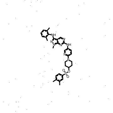 Cc1ccc(S(=O)(=O)OC2CCN(c3ccc(Nc4ncc5c(Nc6c(C)cccc6C)nn(C)c5n4)cn3)CC2)cc1C